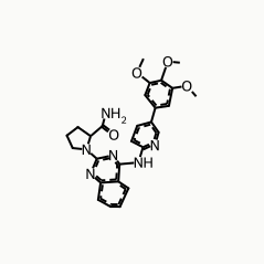 COc1cc(-c2ccc(Nc3nc(N4CCCC4C(N)=O)nc4ccccc34)nc2)cc(OC)c1OC